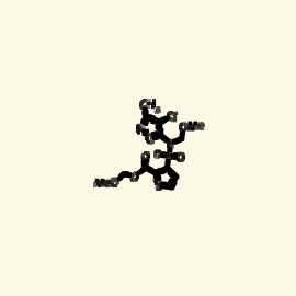 COCOC(=O)c1sccc1S(=O)(=O)N(COC)c1onc(C)c1Cl